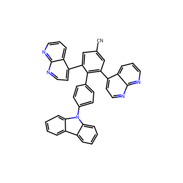 N#Cc1cc(-c2ccnc3ncccc23)c(-c2ccc(-n3c4ccccc4c4ccccc43)cc2)c(-c2ccnc3ncccc23)c1